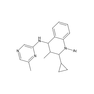 CC(=O)N1c2ccccc2C(Nc2cncc(C)n2)C(C)C1C1CC1